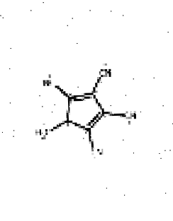 CC1C(C#N)=C(C#N)C(C#N)=C1C#N